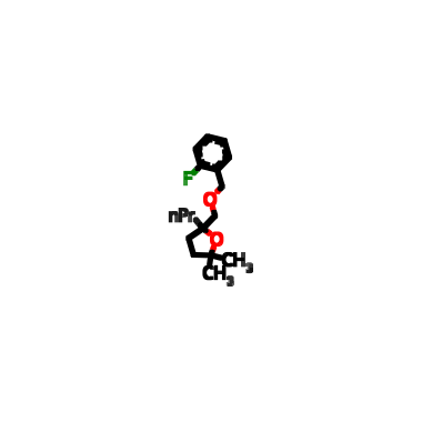 CCCC1(COCc2ccccc2F)CCC(C)(C)O1